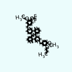 CCCOc1cc(CN2CCC(N(c3cccnc3)N(c3cccnc3)C3CCN(Cc4ccc(OC(F)F)c(OCC)c4)CC3)CC2)ccc1OC